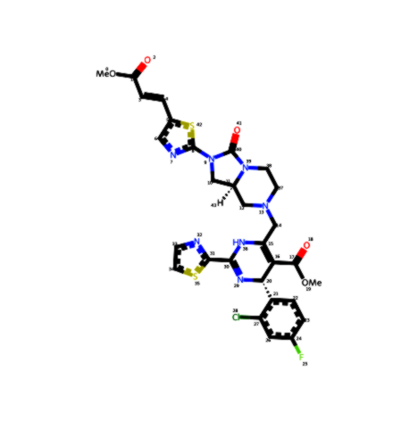 COC(=O)/C=C/c1cnc(N2C[C@@H]3CN(CC4=C(C(=O)OC)[C@H](c5ccc(F)cc5Cl)N=C(c5nccs5)N4)CCN3C2=O)s1